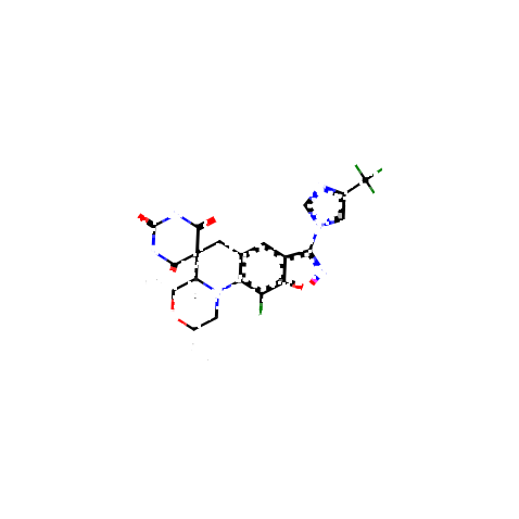 C[C@H]1CN2c3c(cc4c(-n5cnc(C(F)(F)F)c5)noc4c3F)CC3(C(=O)NC(=O)NC3=O)[C@@H]2[C@@H](C)O1